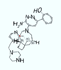 Nc1nnc(-c2ccccc2O)cc1N1CC[C@H]2CC3C2C[C@@H](C1)[C@H]3Cc1cc(CN2CCNCC2)ccn1